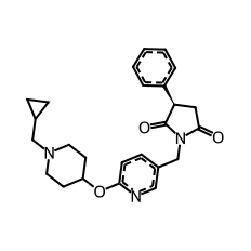 O=C1C[C@H](c2ccccc2)C(=O)N1Cc1ccc(OC2CCN(CC3CC3)CC2)nc1